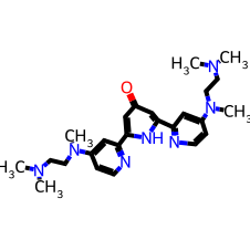 CN(C)CCN(C)c1ccnc(-c2cc(=O)cc(-c3cc(N(C)CCN(C)C)ccn3)[nH]2)c1